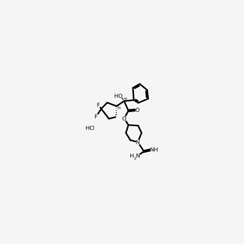 Cl.N=C(N)N1CCC(OC(=O)[C@](O)(c2ccccc2)[C@@H]2CCC(F)(F)C2)CC1